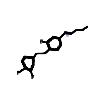 CCC/C=C/c1ccc(CCc2ccc(F)c(F)c2)c(F)c1